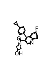 O=C(c1cnc2ccc(F)cc2c1-c1ccc(C2CC2)cc1)N1CC(O)C1